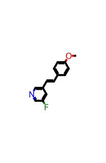 COc1ccc(C=Cc2cncc(F)c2)cc1